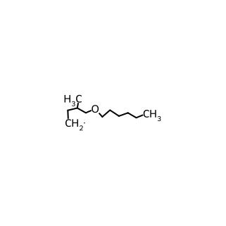 [CH2]CC(C)COCCCCCC